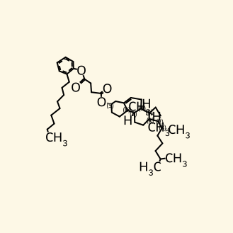 CCCCCCCCCc1ccccc1OC(=O)CCC(=O)O[C@H]1CC[C@@]2(C)C(=CC[C@H]3[C@@H]4CC[C@H]([C@H](C)CCCC(C)C)[C@@]4(C)CC[C@@H]32)C1